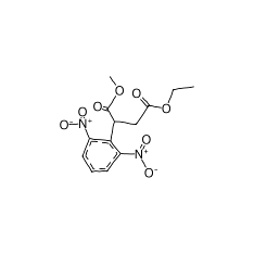 CCOC(=O)CC(C(=O)OC)c1c([N+](=O)[O-])cccc1[N+](=O)[O-]